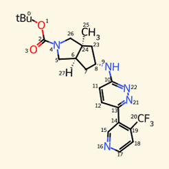 CC(C)(C)OC(=O)N1C[C@@H]2C[C@@H](Nc3ccc(-c4cnccc4C(F)(F)F)nn3)C[C@]2(C)C1